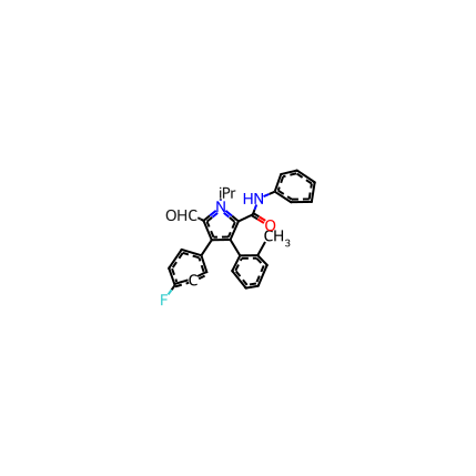 Cc1ccccc1-c1c(-c2ccc(F)cc2)c(C=O)n(C(C)C)c1C(=O)Nc1ccccc1